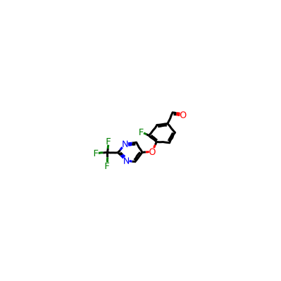 O=Cc1ccc(Oc2cnc(C(F)(F)F)nc2)c(F)c1